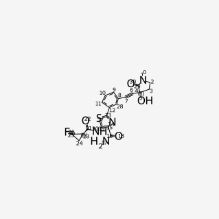 CN1CC[C@@](O)(C#Cc2cccc(-c3nc(C(N)=O)c(NC(=O)[C@H]4C[C@H]4F)s3)c2)C1=O